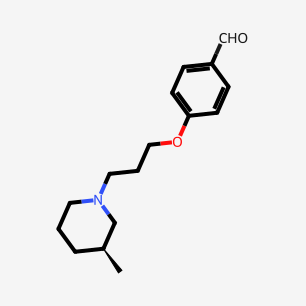 C[C@H]1CCCN(CCCOc2ccc(C=O)cc2)C1